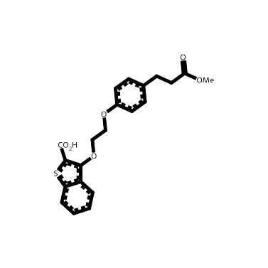 COC(=O)CCc1ccc(OCCOc2c(C(=O)O)sc3ccccc23)cc1